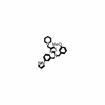 COc1cccc(CN(Cc2cccc(-n3cccn3)c2)c2nc(CN3CCCCC3)cs2)c1